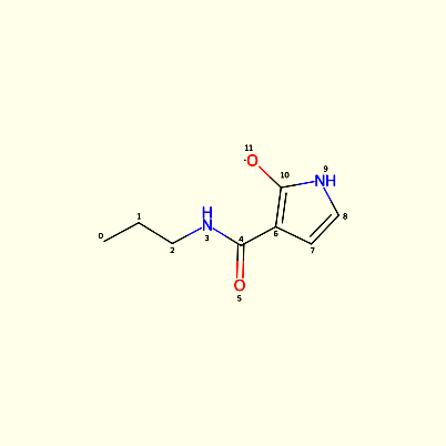 CCCNC(=O)c1cc[nH]c1[O]